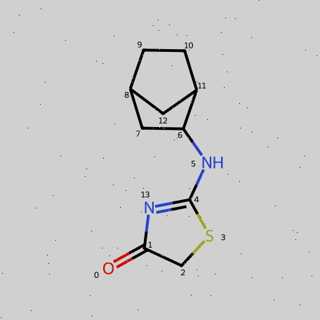 O=C1CSC(NC2CC3CCC2C3)=N1